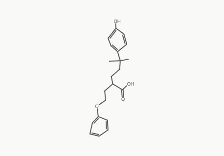 CC(C)(CCC(CCOc1ccccc1)C(=O)O)c1ccc(O)cc1